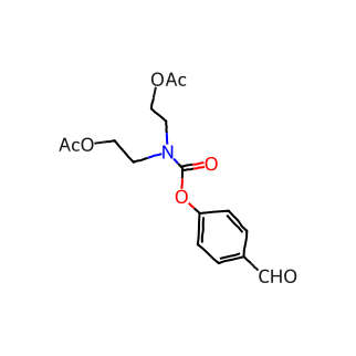 CC(=O)OCCN(CCOC(C)=O)C(=O)Oc1ccc(C=O)cc1